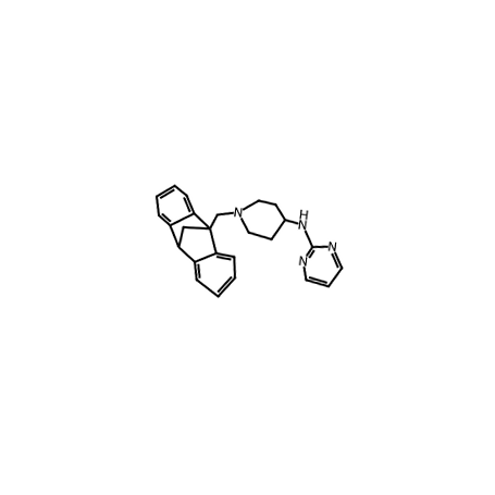 c1cnc(NC2CCN(CC34CC(c5ccccc53)c3ccccc34)CC2)nc1